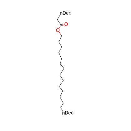 CCCCCCCCCCCCCCCCCCCCCCCCOC(=O)CCCCCCCCCCC